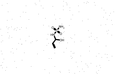 C=CC(O)NS(N)(=O)=O